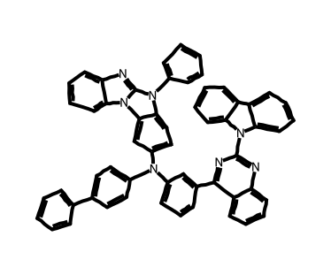 c1ccc(-c2ccc(N(c3cccc(-c4nc(-n5c6ccccc6c6ccccc65)nc5ccccc45)c3)c3ccc4c(c3)n3c5ccccc5nc3n4-c3ccccc3)cc2)cc1